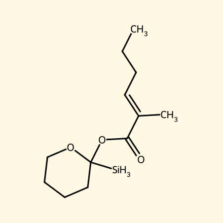 CCCC=C(C)C(=O)OC1([SiH3])CCCCO1